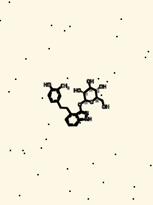 Cc1cc(CCc2cccc3[nH]nc(O[C@@H]4O[C@H](CO)[C@@H](O)[C@H](O)[C@H]4O)c23)ccc1O